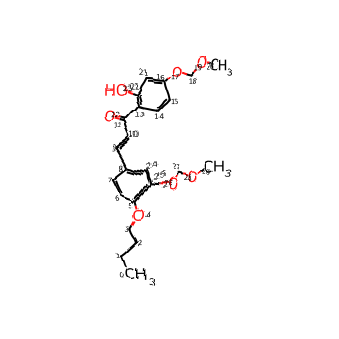 CCCCOc1ccc(/C=C/C(=O)c2ccc(OCOC)cc2O)cc1OCOC